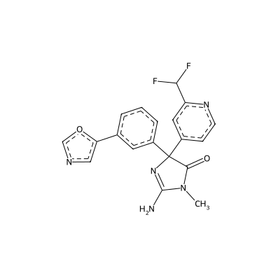 CN1C(=O)C(c2cccc(-c3cnco3)c2)(c2ccnc(C(F)F)c2)N=C1N